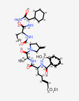 C=C1C[C@@H](C(=O)N[C@@H](CC(C)C)C(=O)N[C@H](C(N)=O)C2CCCCC2)N(C(=O)[C@@H](NC(=O)[C@H](CC/C=C/C(=O)OCC)NC(=O)c2ccccc2C(=O)O)C(C)(C)C)C1